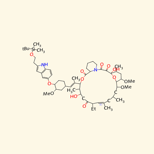 CCC1/C=C(\C)CC(C)CC(OC)C2OC(O)(C(=O)C(=O)N3CCCCC3C(=O)OC(C(C)=CC3CCC(Oc4ccc5[nH]c(CCO[Si](C)(C)C(C)(C)C)cc5c4)C(OC)C3)C(C)C(O)CC1=O)C(C)CC2OC